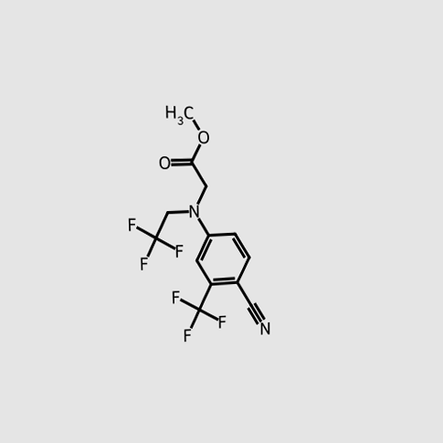 COC(=O)CN(CC(F)(F)F)c1ccc(C#N)c(C(F)(F)F)c1